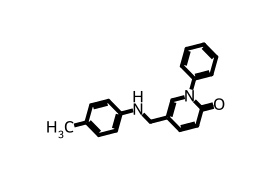 Cc1ccc(NCc2ccc(=O)n(-c3ccccc3)c2)cc1